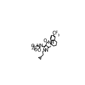 CS(=O)(=O)CC(=O)Nc1c2c(nn1CCC1CC1)C[C@]1(CCCc3cc(C(F)(F)F)ccc31)NC2=O